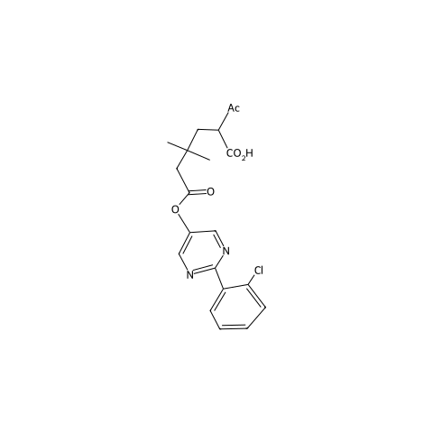 CC(=O)C(CC(C)(C)CC(=O)Oc1cnc(-c2ccccc2Cl)nc1)C(=O)O